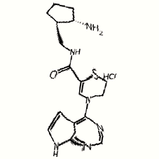 Cl.N[C@H]1CCC[C@@H]1CNC(=O)C1=CN(c2ncnc3[nH]ccc23)CCS1